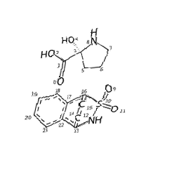 O=C(O)[C@]1(O)CCCN1.O=S1(=O)Nc2ccc1c1ccccc21